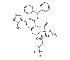 CO[C@@]1(NC(=O)CSC(F)(F)F)C(=O)N2C(C(=O)OC(c3ccccc3)c3ccccc3)=C(CSc3nnnn3C)CS[C@@H]21